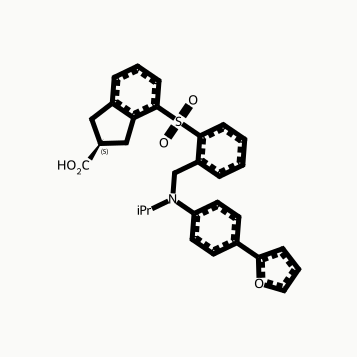 CC(C)N(Cc1ccccc1S(=O)(=O)c1cccc2c1C[C@@H](C(=O)O)C2)c1ccc(-c2ccco2)cc1